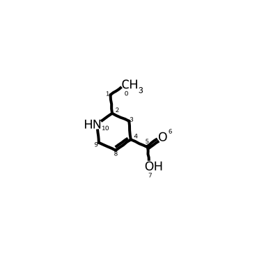 CCC1CC(C(=O)O)=CCN1